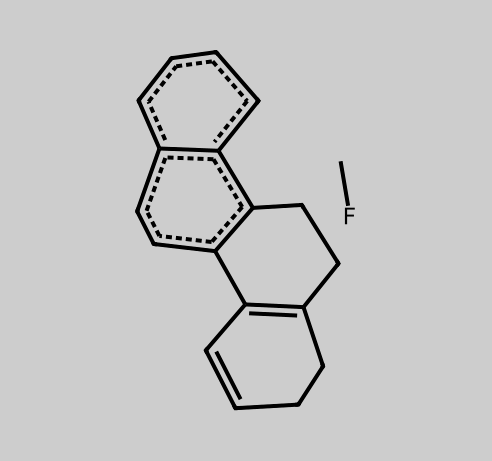 C1=CC2=C(CC1)CCc1c2ccc2ccccc12.CF